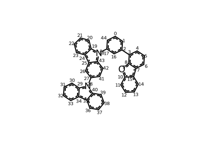 c1cc(-c2cccc3c2oc2ccccc23)cc(-n2c3ccccc3c3cc(-n4c5ccccc5c5ccccc54)ccc32)c1